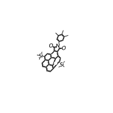 Cc1cc(-n2c(=O)c3c4cc([Si](C)(C)C)c5ccc6ccc7c([Si](C)(C)C)cc(c3c2=O)c2c7c6c5c42)cc(C)c1C